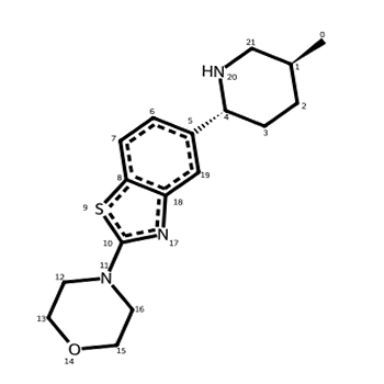 C[C@H]1CC[C@H](c2ccc3sc(N4CCOCC4)nc3c2)NC1